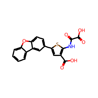 O=C(O)C(=O)Nc1sc(-c2ccc3oc4ccccc4c3c2)cc1C(=O)O